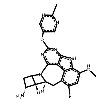 CNc1cc(F)c2c3c1[nH]c1nc(Oc4cnc(C)nc4)nc(c13)N1C3C[C@@H](N)[C@H]3[C@@H]1C2